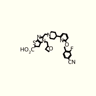 N#Cc1ccc(COc2cccc(C3CCN(Cc4nc5c(n4CC4CCO4)CC(C(=O)O)S5)CC3)n2)c(F)c1